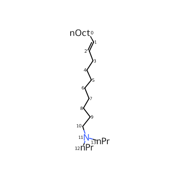 CCCCCCCCC=CCCCCCCCCN(CCC)CCC